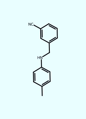 Cc1ccc(NCc2cccc(C#N)c2)cc1